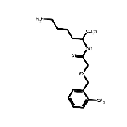 Cc1ccccc1CNCC(=O)NC(CCCCN)C(=O)O